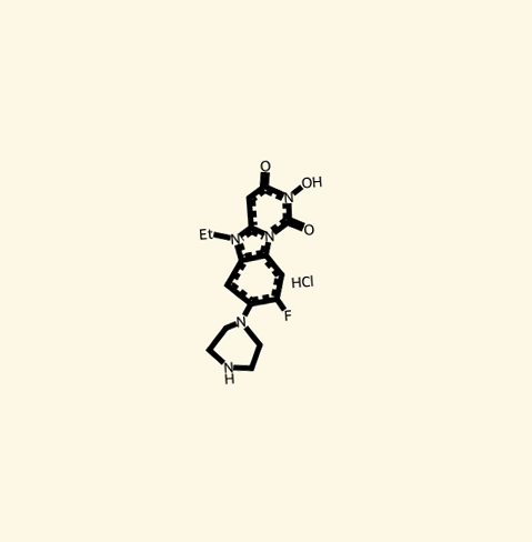 CCn1c2cc(N3CCNCC3)c(F)cc2n2c(=O)n(O)c(=O)cc12.Cl